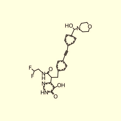 O=C(NCC(F)F)C(Cc1ccc(C#Cc2ccc(C(O)N3CCOCC3)cc2)cc1)c1nc[nH]c(=O)c1O